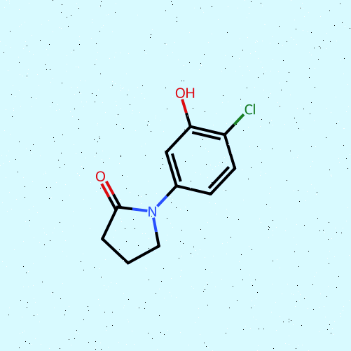 O=C1CCCN1c1ccc(Cl)c(O)c1